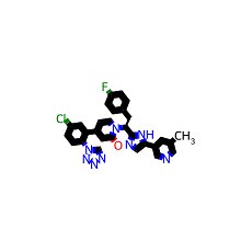 Cc1cncc(-c2cnc([C@H](Cc3ccc(F)cc3)n3ccc(-c4cc(Cl)ccc4-n4cnnn4)cc3=O)[nH]2)c1